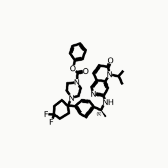 CC(C)n1c(=O)ccc2cnc(N[C@@H](C)c3ccc(C4(N5CCN(C(=O)Oc6ccccc6)CC5)CCC(F)(F)CC4)cc3)cc21